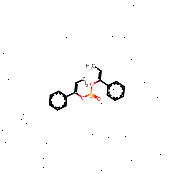 C/C=C(\O[PH](=O)O/C(=C\C)c1ccccc1)c1ccccc1